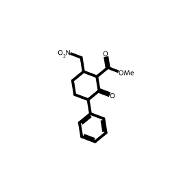 COC(=O)C1C(=O)C(c2ccccc2)CCC1C[N+](=O)[O-]